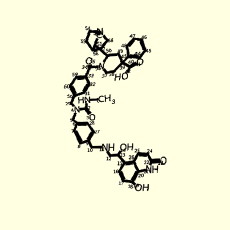 CNC(=O)N(Cc1ccc(CNCC(O)c2ccc(O)c3[nH]c(=O)ccc23)cc1)Cc1ccc(C(=O)N2CCC(C(=O)O)(c3ccccc3)CC2C2CN3CCC2CC3)cc1